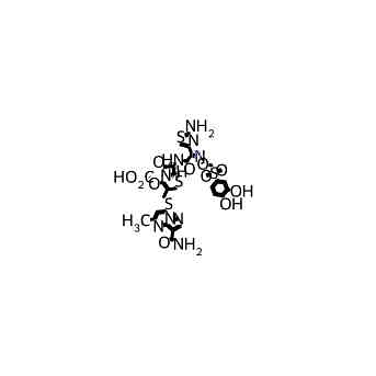 Cc1cc(SCC2=C(OC(=O)O)N3C(=O)[C@@H](NC(=O)/C(=N\OCS(=O)(=O)c4ccc(O)c(O)c4)c4csc(N)n4)[C@H]3SC2)n2ncc(C(N)=O)c2n1